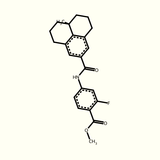 COC(=O)c1ccc(NC(=O)c2cc3c4c(c2)CCCC4(C)CCC3)cc1F